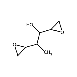 CC(C1CO1)C(O)C1CO1